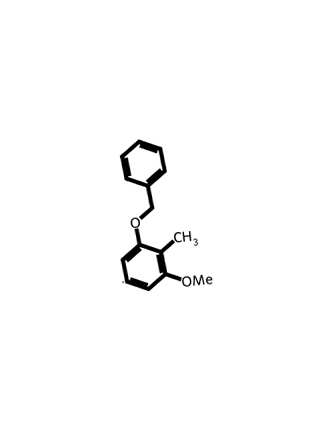 COc1c[c]cc(OCc2ccccc2)c1C